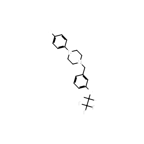 [O]c1ccc(N2CCN(Cc3cccc(OC(F)(F)C(F)(F)F)c3)CC2)cc1